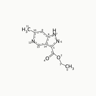 CCOC(=O)c1n[nH]c2cc(C)ncc12